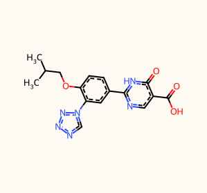 CC(C)COc1ccc(-c2ncc(C(=O)O)c(=O)[nH]2)cc1-n1cnnn1